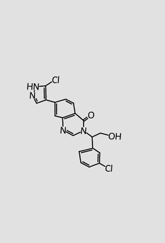 O=c1c2ccc(-c3cn[nH]c3Cl)cc2ncn1C(CO)c1cccc(Cl)c1